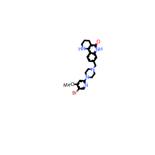 COc1cc(N2CCN(Cc3ccc4c5c(c(=O)[nH]c4c3)CCCN5)CC2)ncc1Br